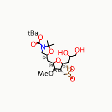 CO[C@@H]1[C@@H](C[SH](=O)=O)[C@H](CC(O)CO)O[C@@H]1C[C@H]1CN(C(=O)OC(C)(C)C)C(C)(C)O1